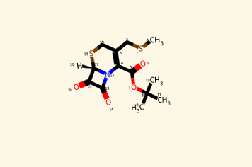 CSCC1=C(C(=O)OC(C)(C)C)N2C(=O)C(=O)[C@@H]2SC1